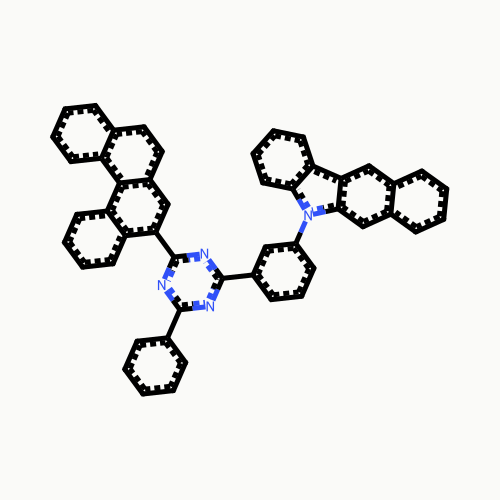 c1ccc(-c2nc(-c3cccc(-n4c5ccccc5c5cc6ccccc6cc54)c3)nc(-c3cc4ccc5ccccc5c4c4ccccc34)n2)cc1